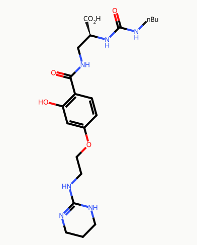 CCCCNC(=O)N[C@@H](CNC(=O)c1ccc(OCCNC2=NCCCN2)cc1O)C(=O)O